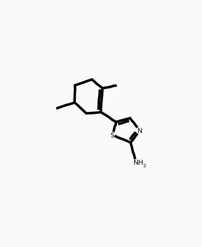 CC1=C(c2cnc(N)s2)CC(C)CC1